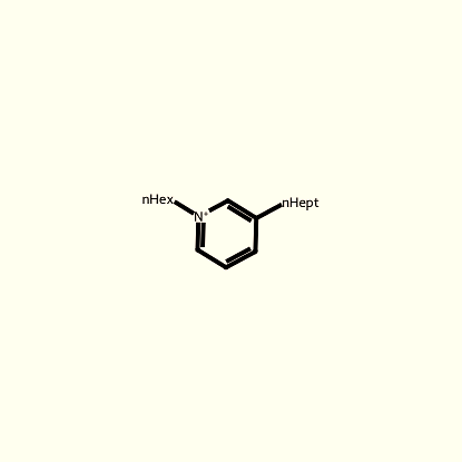 CCCCCCCc1ccc[n+](CCCCCC)c1